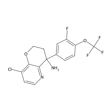 NC1(c2ccc(OC(F)(F)F)c(F)c2)CCOc2c(Cl)ccnc21